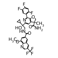 COc1cc(C(=O)NC[C@](O)(c2cc3c(c(-c4cc(F)c(F)cc4F)n2)OC[C@]3(C)C(N)=O)C2CC2)cc2cc(C(F)(F)F)cnc12